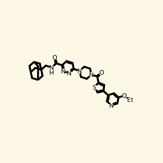 CCOc1cncc(-c2csc(C(=O)N3CCN(c4ccc(C(=O)NCC56CC7CC(CC(C7)C5)C6)nn4)CC3)c2)c1